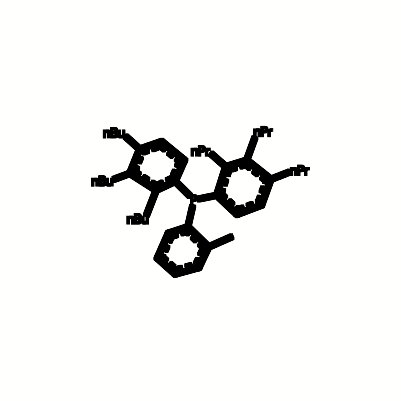 CCCCc1ccc(P(c2ccccc2C)c2ccc(CCC)c(CCC)c2CCC)c(CCCC)c1CCCC